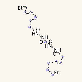 CC/C=C\C/C=C\C/C=C\C/C=C\C/C=C\C/C=C\CCC(=O)NCCNC(=O)/C=C/C(=O)NCCNC(=O)CC/C=C\C/C=C\C/C=C\C/C=C\C/C=C\C/C=C\CC